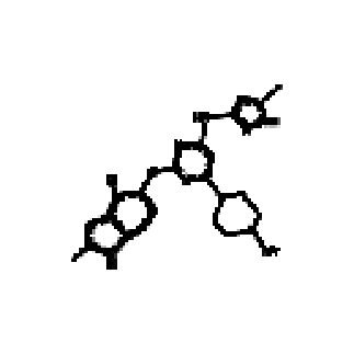 CCCN1CCN(c2cc(Nc3cc(C)[nH]n3)nc(Oc3ccc4[nH]c(C)cc4c3Cl)n2)CC1